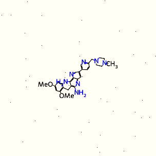 COc1ccc(Cc2c(N)nc3cc(-c4ccc(CN5CCN(C)CC5)nc4)cnc3c2N)c(OC)c1